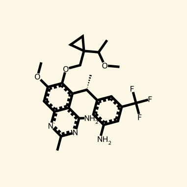 COc1cc2nc(C)nc(N)c2c([C@H](C)c2cc(N)cc(C(F)(F)F)c2)c1OCC1(C(C)OC)CC1